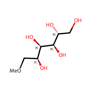 COC[C@H](O)[C@@H](O)[C@H](O)[C@H](O)CO